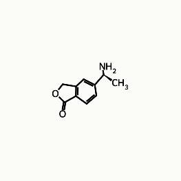 C[C@H](N)c1ccc2c(c1)COC2=O